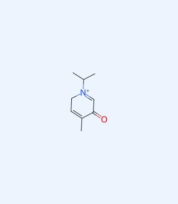 CC1=CC[N+](C(C)C)=CC1=O